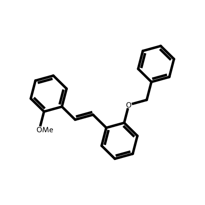 COc1ccccc1C=Cc1ccccc1OCc1ccccc1